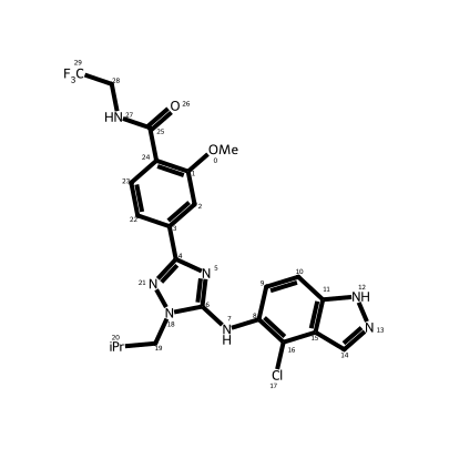 COc1cc(-c2nc(Nc3ccc4[nH]ncc4c3Cl)n(CC(C)C)n2)ccc1C(=O)NCC(F)(F)F